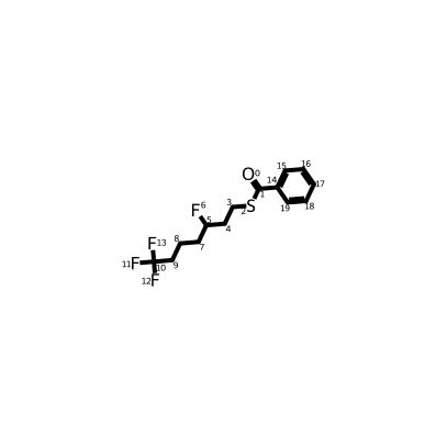 O=C(SCCC(F)CCCC(F)(F)F)c1ccccc1